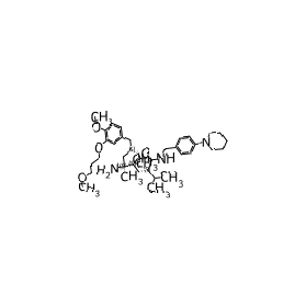 CC[C@@H](Cc1ccc(OC)c(OCCCOC)c1)C[C@](C)(N)[C@@H](O)C[C@H](C(=O)NCc1ccc(N2CCCCC2)cc1)C(C)C